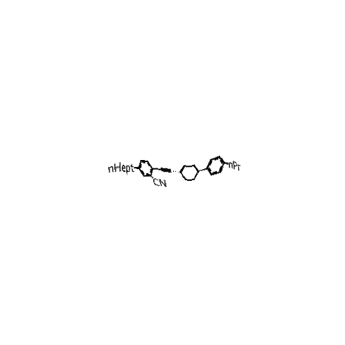 CCCCCCCc1ccc(C#C[C@H]2CC[C@H](c3ccc(CCC)cc3)CC2)c(C#N)c1